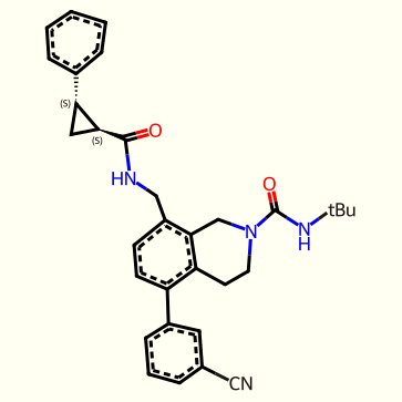 CC(C)(C)NC(=O)N1CCc2c(-c3cccc(C#N)c3)ccc(CNC(=O)[C@H]3C[C@@H]3c3ccccc3)c2C1